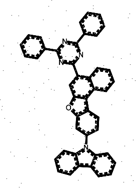 c1ccc(-c2nc(-c3ccccc3)nc(-c3cc4oc5cc(-n6c7ccccc7c7ccccc76)ccc5c4c4ccccc34)n2)cc1